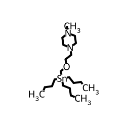 CCC[CH2][Sn]([CH2]CCC)([CH2]CCC)[CH2]OCCN1CCN(C)CC1